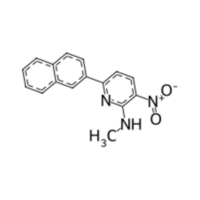 CNc1nc(-c2ccc3ccccc3c2)ccc1[N+](=O)[O-]